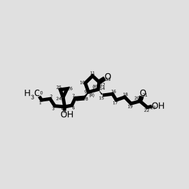 CCCCC(O)(CC=C[C@H]1CCC(=O)[C@@H]1CCCCCC(=O)CO)C1CC1